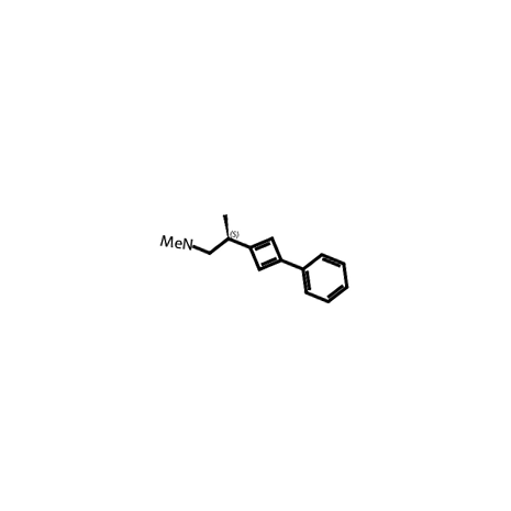 CNC[C@@H](C)C1=CC(c2ccccc2)=C1